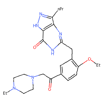 CCCc1n[nH]c2c(=O)[nH]c(Cc3cc(C(=O)CN4CCN(CC)CC4)ccc3OCC)nc12